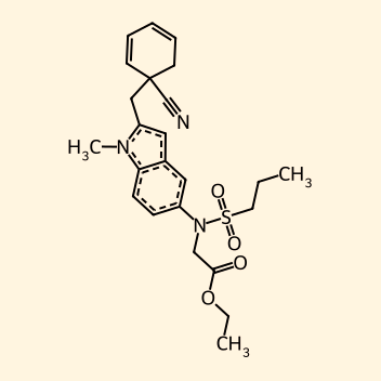 CCCS(=O)(=O)N(CC(=O)OCC)c1ccc2c(c1)cc(CC1(C#N)C=CC=CC1)n2C